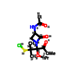 CCCOC(C(=O)OC)(N1CC(NC(=O)CC)C1=O)C(C)(C)SCl